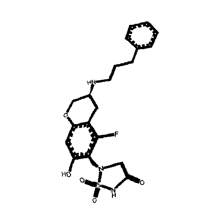 O=C1CN(c2c(O)cc3c(c2F)C[C@H](NCCCc2ccccc2)CO3)S(=O)(=O)N1